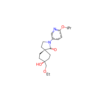 CCOC[C@]1(O)CC[C@]2(CCN(c3ccc(OC(C)C)nc3)C2=O)CC1